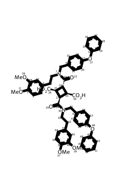 COc1ccc(CCN(Cc2ccc(Oc3ccccc3)cc2)C(=O)[C@H]2[C@H](C(=O)O)[C@H](C(=O)N(CCc3ccc(OC)c(OC)c3)Cc3ccc(Oc4ccccc4)cc3)[C@@H]2C(=O)O)cc1OC